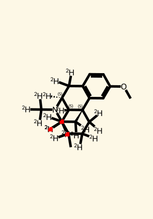 [2H]C([2H])([2H])N1C([2H])([2H])C([2H])([2H])[C@]23c4cc(OC)ccc4C([2H])([2H])[C@@]1([2H])[C@@]2([2H])C([2H])([2H])C([2H])(C)C([2H])([2H])C3([2H])[2H]